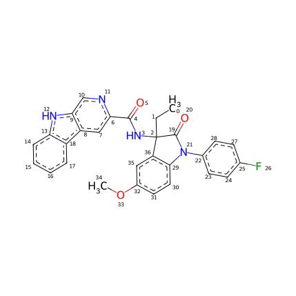 CCC1(NC(=O)c2cc3c(cn2)[nH]c2ccccc23)C(=O)N(c2ccc(F)cc2)c2ccc(OC)cc21